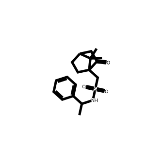 CC(NS(=O)(=O)CC12CCC(CC1=O)C2(C)C)c1ccccc1